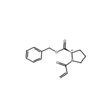 C=CC(=O)N1CCC[C@@H]1C(=O)OCc1ccccc1